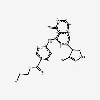 CCCNC(=O)c1ccc(Nc2nc(C3CNN=C3C)cc3cc[nH]c(=O)c23)cc1